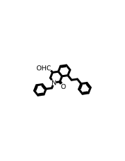 O=CC1CN(Cc2ccccc2)C(=O)C2C(CCc3ccccc3)CC=CC12